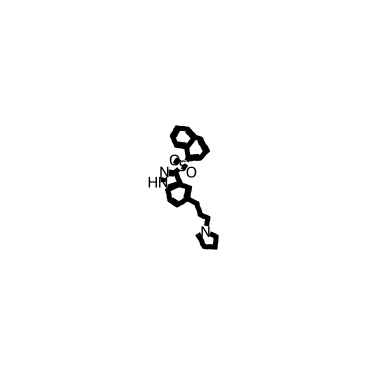 O=S(=O)(c1cccc2ccccc12)c1n[nH]c2ccc(CCCN3CCCC3)cc12